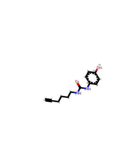 C#CCCCCNC(=O)Nc1ccc(O)cc1